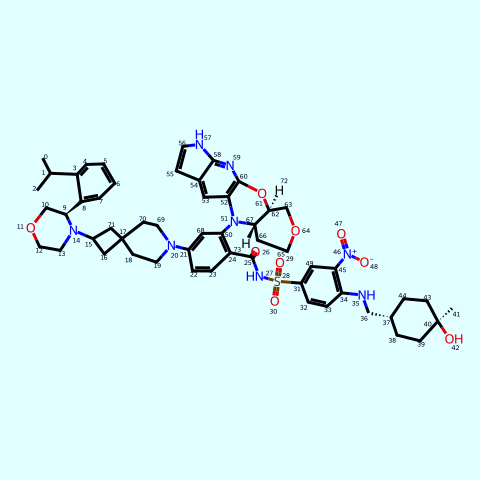 CC(C)c1ccccc1[C@@H]1COCCN1C1CC2(CCN(c3ccc(C(=O)NS(=O)(=O)c4ccc(NC[C@H]5CC[C@](C)(O)CC5)c([N+](=O)[O-])c4)c(N4c5cc6cc[nH]c6nc5O[C@H]5COCC[C@@H]54)c3)CC2)C1